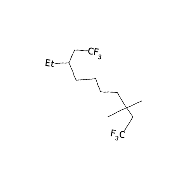 CCC(CCCCC(C)(C)CC(F)(F)F)CC(F)(F)F